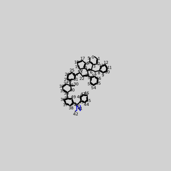 C\C=C/C(=C\C)C(/Cc1ccccc1)=C(C1=CC=CCC1)/C(=C\Cc1cccc(C2(C)C=CC=C(c3cccc(/C(=N\C)c4ccccc4)c3)C2)c1)c1ccccc1